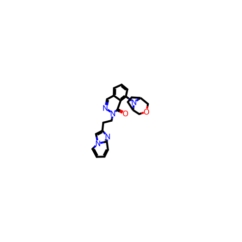 O=c1c2c(N3C4CCC3COC4)cccc2cnn1CCc1cn2ccccc2n1